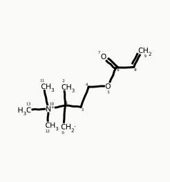 [CH2]C(C)(CCOC(=O)C=C)[N+](C)(C)C